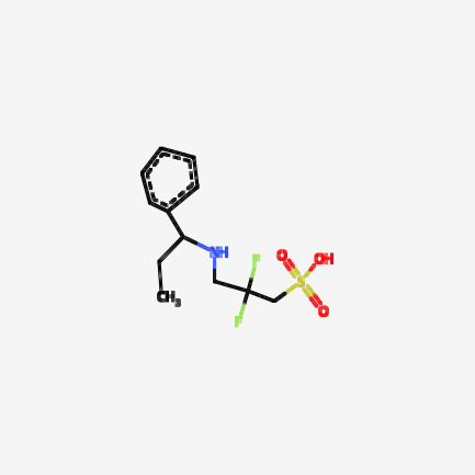 CCC(NCC(F)(F)CS(=O)(=O)O)c1ccccc1